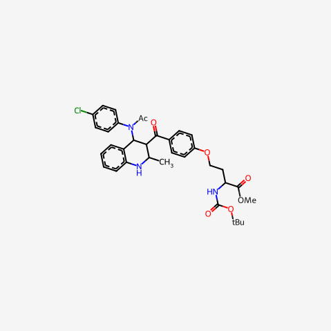 COC(=O)C(CCOc1ccc(C(=O)C2C(C)Nc3ccccc3C2N(C(C)=O)c2ccc(Cl)cc2)cc1)NC(=O)OC(C)(C)C